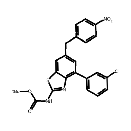 CC(C)(C)OC(=O)Nc1nc2c(-c3cccc(Cl)c3)cc(Cc3ccc([N+](=O)[O-])cc3)cc2s1